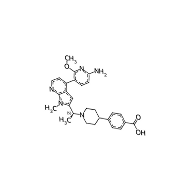 COc1nc(N)ccc1-c1ccnc2c1cc([C@H](C)N1CCC(c3ccc(C(=O)O)cc3)CC1)n2C